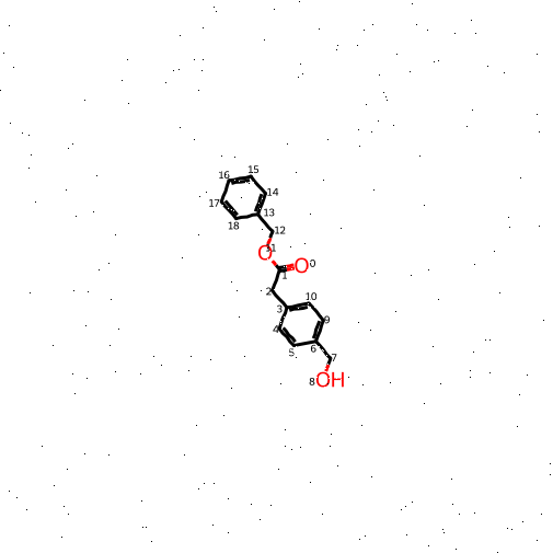 O=C(Cc1ccc(CO)cc1)OCc1ccccc1